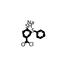 O=C(Cl)c1ccc(S)c(Sc2ccccc2)c1.[Na]